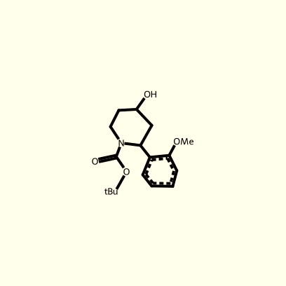 COc1ccccc1C1CC(O)CCN1C(=O)OC(C)(C)C